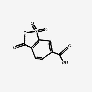 O=C(O)c1ccc2c(c1)S(=O)(=O)OC2=O